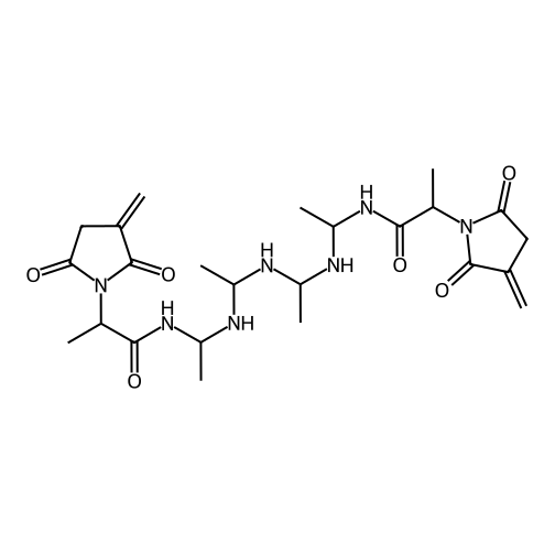 C=C1CC(=O)N(C(C)C(=O)NC(C)NC(C)NC(C)NC(C)NC(=O)C(C)N2C(=O)CC(=C)C2=O)C1=O